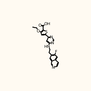 CCOc1cc(-c2cc(NCCc3cc4cnccc4cc3F)ncn2)sc1C(=O)O